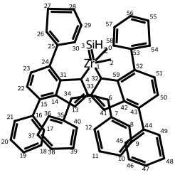 [CH3][Zr]([CH3])(=[SiH2])([CH]1C(Cc2ccccc2)=Cc2c(-c3ccccc3)ccc(-c3ccccc3)c21)[CH]1C(Cc2ccccc2)=Cc2c(-c3ccccc3)ccc(-c3ccccc3)c21